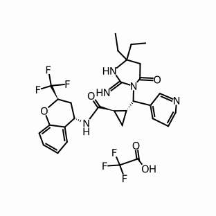 CCC1(CC)CC(=O)N(C(c2cccnc2)[C@@H]2C[C@H]2C(=O)N[C@H]2C[C@H](C(F)(F)F)Oc3ccccc32)C(=N)N1.O=C(O)C(F)(F)F